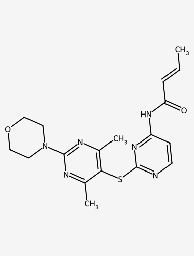 CC=CC(=O)Nc1ccnc(Sc2c(C)nc(N3CCOCC3)nc2C)n1